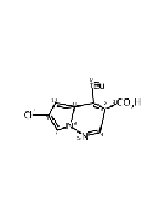 CC(C)(C)c1c(C(=O)O)cnn2cc(Cl)cc12